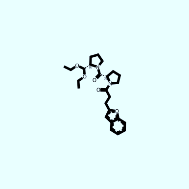 CCOC(OCC)[C@@H]1CCCN1C(=O)[C@@H]1CCCN1C(=O)CCc1cc2ccccc2o1